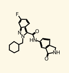 O=C1NCc2ccc(NC(=O)c3c4ccc(F)cc4nn3CC3CCCCC3)cc21